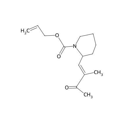 C=CCOC(=O)N1CCCCC1/C=C(\C)C(C)=O